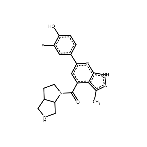 Cc1n[nH]c2nc(-c3ccc(O)c(F)c3)cc(C(=O)N3CCC4CNCC43)c12